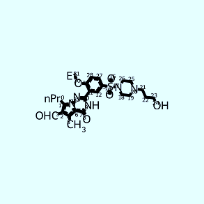 CCCc1c(C=O)c(C)c2c(=O)[nH]c(-c3cc(S(=O)(=O)N4CCN(CCCO)CC4)ccc3OCC)nn12